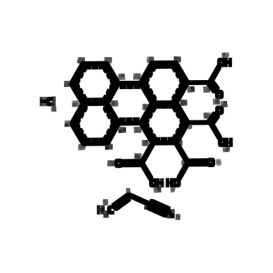 C=CC#N.Cl.O=C(O)c1c(C(=O)O)c2c(C(=O)O)ccc3c4cccc5cccc(c(c1C(=O)O)c23)c54